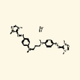 CN(CCCN(C)c1ccc(/N=N/c2n(C)nc[n+]2C)cc1)c1ccc(/N=N/c2n(C)nc[n+]2C)cc1.[Br-].[Br-]